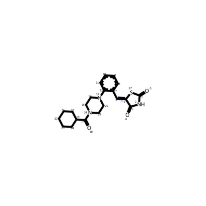 O=C1NC(=O)/C(=C/c2ccccc2N2CCN(C(=O)C3CCCCC3)CC2)S1